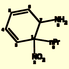 CCCC1([N+](=O)[O-])C=CC=CC1N